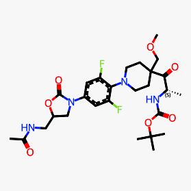 COCC1(C(=O)[C@H](C)NC(=O)OC(C)(C)C)CCN(c2c(F)cc(N3CC(CNC(C)=O)OC3=O)cc2F)CC1